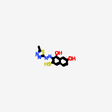 Cc1nnc(/N=N/c2c(S)cc3ccc(O)cc3c2O)s1